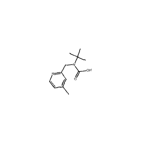 Cc1ccnc(CN(C(=O)O)C(C)(C)C)c1